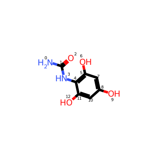 NC(=O)Nc1c(O)cc(O)cc1O